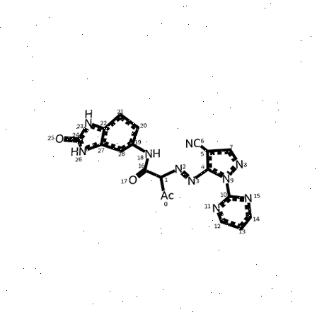 CC(=O)C(N=Nc1c(C#N)cnn1-c1ncccn1)C(=O)Nc1ccc2[nH]c(=O)[nH]c2c1